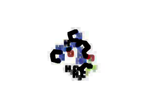 CC(C)[C@@H](NC(=O)C1C=CC2=C(N1)N(C(=O)Nc1ccccn1)[C@H]1CCN2C1)C(F)(F)F